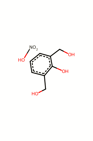 O=[N+]([O-])O.OCc1cccc(CO)c1O